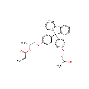 C=CC(=O)OC(C)COc1ccc(C2(c3ccc(OCC(C)O)cc3)c3ccccc3-c3ccccc32)cc1